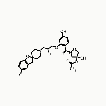 C[C@]1(OC(=O)C(F)(F)F)CON(C(=O)c2ccc(O)cc2OC[C@@H](O)CN2CCC3(CC2)Cc2cc(Cl)ccc2O3)C1